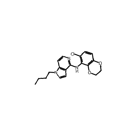 CCCCn1ccc2c(Nc3c(Cl)ccc4c3OCCO4)nccc21